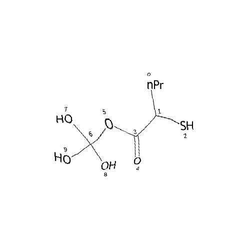 CCCC(S)C(=O)OC(O)(O)O